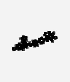 CCn1c(N2CCN(c3ccc(OC[C@@H]4CO[C@@](Cn5ccnc5)(c5ccc(Cl)cc5Cl)O4)cc3)CC2)nc2c1c(=O)n(C)c(=O)n2C